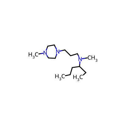 CCCC(CC)N(C)CCCN1CCN(C)CC1